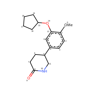 COc1ccc(C2CCC(=O)NC2)cc1OC1CCCC1